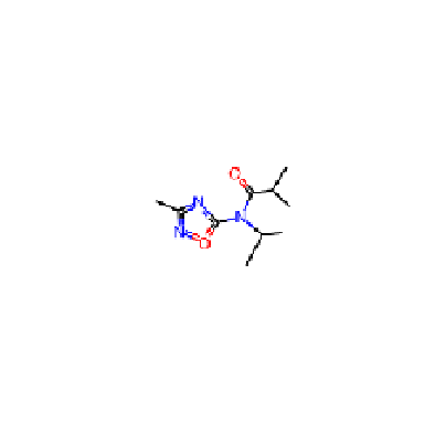 Cc1noc(N(C(=O)C(C)C)C(C)C)n1